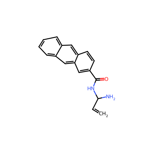 C=CC(N)NC(=O)c1ccc2cc3ccccc3cc2c1